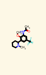 COc1c(NC(C)=O)cc(C(F)(F)F)cc1C1CCCCN1C